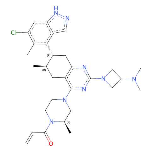 C=CC(=O)N1CCN(c2nc(N3CC(N(C)C)C3)nc3c2C[C@@H](C)[C@H](c2c(C)c(Cl)cc4[nH]ncc24)C3)C[C@H]1C